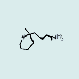 CC1(CCCN)CCCC[N]1